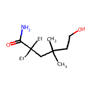 CCC(CC)(CC(C)(C)CCO)C(N)=O